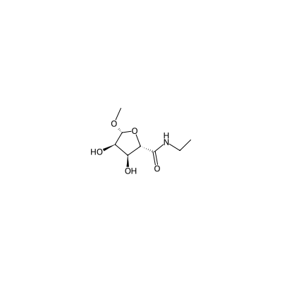 CCNC(=O)[C@H]1O[C@@H](OC)[C@H](O)[C@@H]1O